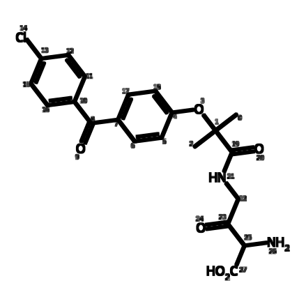 CC(C)(Oc1ccc(C(=O)c2ccc(Cl)cc2)cc1)C(=O)NCC(=O)C(N)C(=O)O